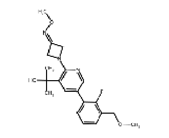 COCc1cccc(-c2cnc(N3CC(=NOC)C3)c(C(C)(C)O)c2)c1F